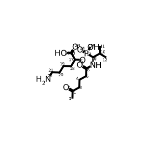 CC(=O)CCCC(=O)N[C@H](C(C)C)P(=O)(O)OC(CCCCN)C(=O)O